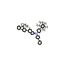 [2H]c1c([2H])c([2H])c(-c2ccc(N(c3ccc(-c4ccccc4)cc3)c3ccc4cc(-c5ccc6c(c5)C(C)(C)c5ccccc5-6)ccc4c3)cc2)c([2H])c1[2H]